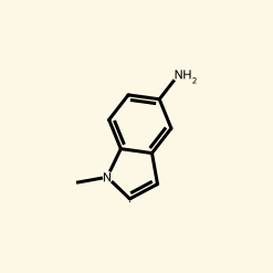 Cn1[c]cc2cc(N)ccc21